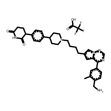 Cc1cc(-c2ncnn3cc(CCCCN4CCC(c5ccc(C6CCC(=O)NC6=O)cc5)CC4)cc23)ccc1CN.O=C(O)C(F)(F)F